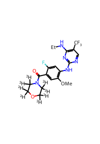 [2H]C1([2H])OC([2H])([2H])C([2H])([2H])N(C(=O)c2cc(OC)c(Nc3ncc(C(F)(F)F)c(NCC)n3)cc2F)C1([2H])[2H]